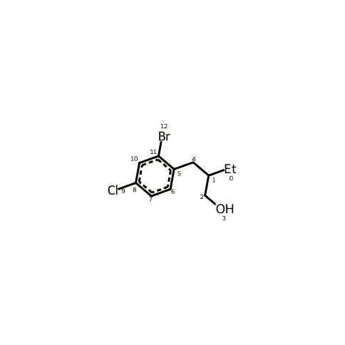 CCC(CO)Cc1ccc(Cl)cc1Br